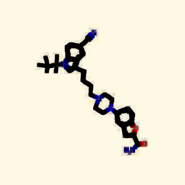 CC(C)(C)[Si](C)(C)n1cc(/C=C/CCN2CCN(c3ccc4oc(C(N)=O)cc4c3)CC2)c2cc(C#N)ccc21